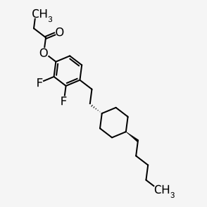 CCCCC[C@H]1CC[C@H](CCc2ccc(OC(=O)CC)c(F)c2F)CC1